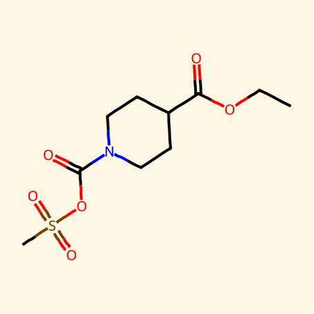 CCOC(=O)C1CCN(C(=O)OS(C)(=O)=O)CC1